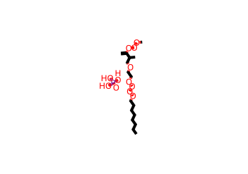 C=C(OOOC)C(C)COCCOOOOCCCCCCCC.O=P(O)(O)O